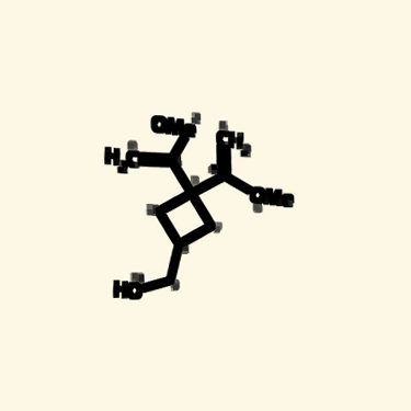 C=C(OC)C1(C(=C)OC)CC(CO)C1